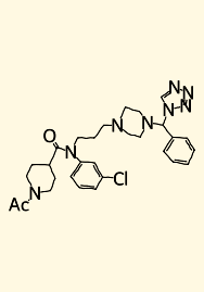 CC(=O)N1CCC(C(=O)N(CCCN2CCN(C(c3ccccc3)n3cnnn3)CC2)c2cccc(Cl)c2)CC1